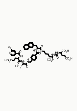 O=C(O)CCC(NC(=O)NC(CCCCNC(=O)C(Cc1ccc2ccccc2c1)NC(=O)c1ccc(CNC(=O)C(NC(=O)C(CCC(=O)O)NC(=O)c2ccnc([18F])c2)C(=O)O)cc1)C(=O)O)C(=O)O